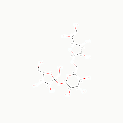 OC[C@H](O)[C@H]1O[C@@H](OC[C@H]2O[C@H](O[C@]3(CO)O[C@H](CO)[C@@H](O)[C@@H]3O)[C@H](O)[C@@H](O)[C@@H]2O)[C@H](O)[C@H]1O